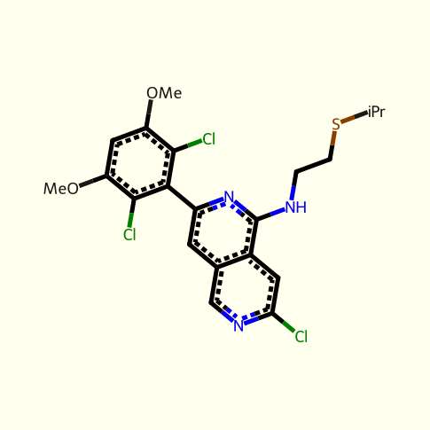 COc1cc(OC)c(Cl)c(-c2cc3cnc(Cl)cc3c(NCCSC(C)C)n2)c1Cl